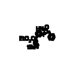 CCOC(=O)C(CO[Si](C)(C)C(C)(C)C)c1ccc(NC(=O)OCc2ccccc2)c(F)c1